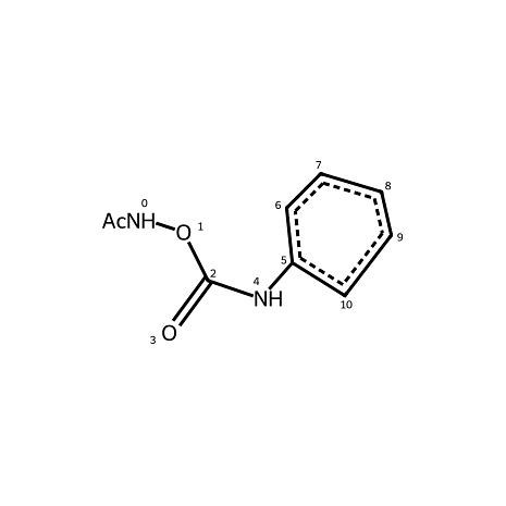 CC(=O)NOC(=O)Nc1ccccc1